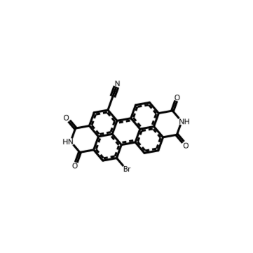 N#Cc1cc2c3c(cc(Br)c4c5ccc6c7c(ccc(c1c34)c75)C(=O)NC6=O)C(=O)NC2=O